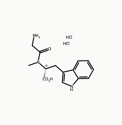 CN(C(=O)CN)[C@H](Cc1c[nH]c2ccccc12)C(=O)O.Cl.Cl